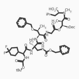 CCCCCCCCCC[C@@H](OC(=O)CNC(=O)[C@@H](NC(=O)[C@@](C)(CNC(=O)OCc1ccccc1)NC(=O)C(NC(=O)OC(C)(C)C)C1CCC(F)(F)CC1)[C@H](C)OCc1ccccc1)[C@@H](C)C(=O)N(C)[C@@H](CC(C)C)C(=O)O